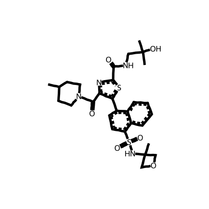 CC1CCN(C(=O)c2nc(C(=O)NCC(C)(C)O)sc2-c2ccc(S(=O)(=O)NC3(C)COC3)c3ccccc23)CC1